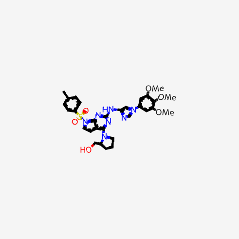 COc1cc(-n2cnc(Nc3nc(N4CCCC4CO)c4ccn(S(=O)(=O)c5ccc(C)cc5)c4n3)c2)cc(OC)c1OC